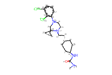 CN(C)C(=O)N[C@H]1CC[C@H](CCN2CCN(c3cccc(Cl)c3Cl)CC23CC3)CC1